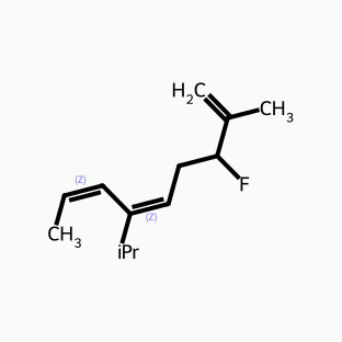 C=C(C)C(F)C/C=C(\C=C/C)C(C)C